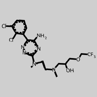 CN(CCN(C)c1nnc(-c2cccc(Cl)c2Cl)c(N)n1)CC(O)COCC(F)(F)F